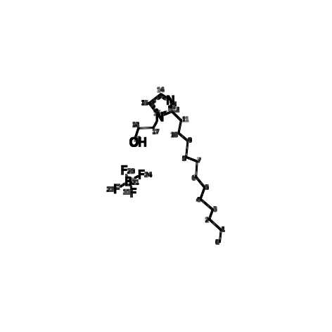 CCCCCCCCCCCCc1nccn1CCO.F[B-](F)(F)F